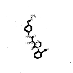 N#Cc1ccccc1N1CCO[C@H]([C@@H](O)C(=O)Nc2ccc(C=NN)cc2)C1=O